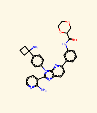 Nc1ncccc1-c1nc2ccc(-c3cccc(NC(=O)C4COCCO4)c3)nc2n1-c1ccc(C2(N)CCC2)cc1